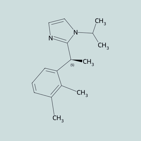 Cc1cccc([C@H](C)c2nccn2C(C)C)c1C